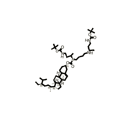 CC[C@H](CC[C@@H](C)[C@H]1CC[C@H]2[C@@H]3CC=C4C[C@@H](OC(=O)N(CCCCNC(C)CCNC(=O)OC(C)(C)C)C(C)CCNC(=O)OC(C)(C)C)CC[C@]4(C)[C@H]3CC[C@]12C)C(C)C